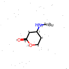 CCCCNC1CCOC(=O)C1